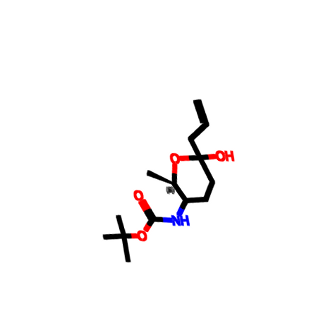 C=CCC1(O)CCC(NC(=O)OC(C)(C)C)[C@@H](C)O1